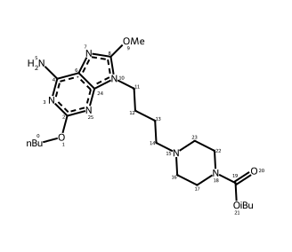 CCCCOc1nc(N)c2nc(OC)n(CCCCN3CCN(C(=O)OCC(C)C)CC3)c2n1